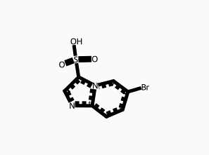 O=S(=O)(O)c1cnc2ccc(Br)cn12